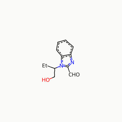 CCC(CO)n1c(C=O)nc2ccccc21